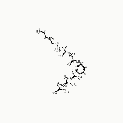 CC(=O)O.CC(=O)O.CC(=O)O.CC(=O)O.CC(=O)O.NCCNCCN.c1ccccc1